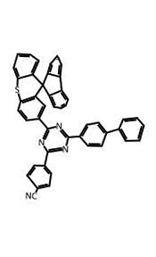 N#Cc1ccc(-c2nc(-c3ccc(-c4ccccc4)cc3)nc(-c3ccc4c(c3)C3(c5ccccc5S4)c4ccccc4-c4ccccc43)n2)cc1